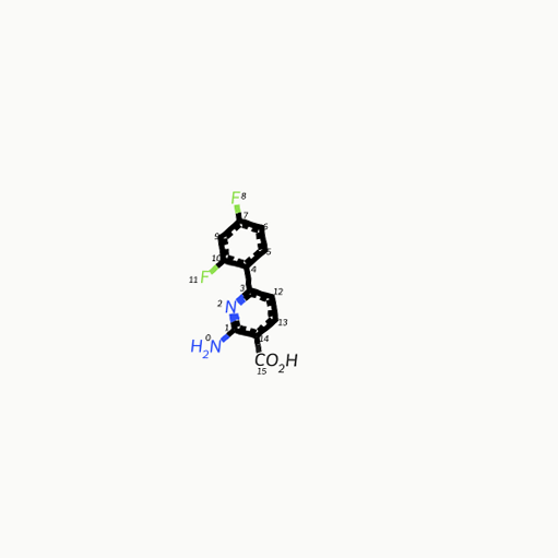 Nc1nc(-c2ccc(F)cc2F)ccc1C(=O)O